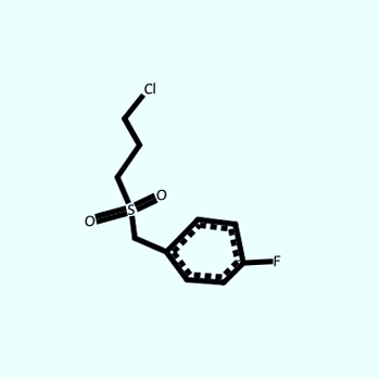 O=S(=O)(CCCCl)Cc1ccc(F)cc1